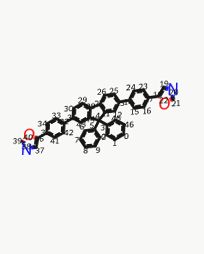 c1ccc(C2(c3ccccc3)c3cc(-c4ccc(-c5cnco5)cc4)ccc3-c3ccc(-c4ccc(-c5cnco5)cc4)cc32)cc1